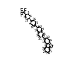 FC(F)(F)c1ccc(-c2ccc(-c3ccc4cc(C5=CC6c7ccccc7OC6C=C5)ccc4c3)cc2)cc1